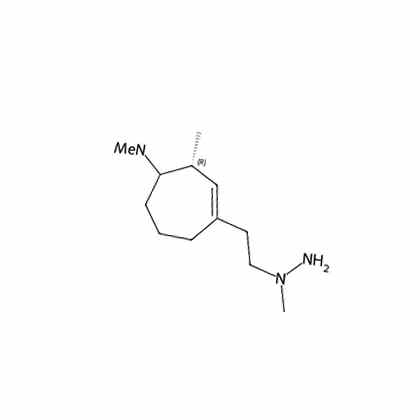 CNC1CCCC(CCN(C)N)=C[C@H]1C